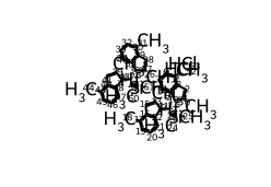 CC1=Cc2c(C)cccc2[CH]1[Hf]([CH]1C(C)=Cc2c(C)cccc21)=[Si](C)C.CC1=Cc2c(C)cccc2[CH]1[Hf]([CH]1C(C)=Cc2c(C)cccc21)=[Si](C)C.Cl.Cl